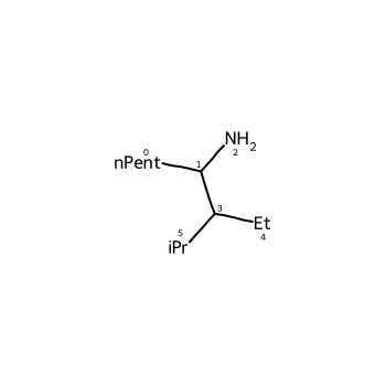 CCCCCC(N)C(CC)C(C)C